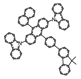 CC1(C)c2ccccc2-c2cc(-c3ccc(-c4c5cc(-n6c7ccccc7c7ccccc76)ccc5c(-c5cccc6ccccc56)c5cc(-n6c7ccccc7c7ccccc76)ccc45)cc3)ccc21